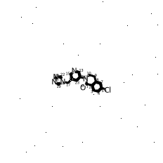 O=C1c2ccc(Cl)cc2CCN1c1cncc(Cn2cnnc2)c1